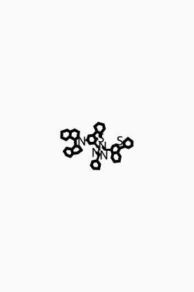 c1ccc(-c2nc(-c3cc4sc5ccccc5c4c4ccccc34)nc(-c3cc(-n4c5ccc6ccccc6c5c5c6ccccc6ccc54)cc4c3sc3ccccc34)n2)cc1